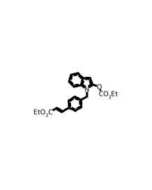 CCOC(=O)C=Cc1ccc(Cn2c(OC(=O)OCC)cc3ccccc32)cc1